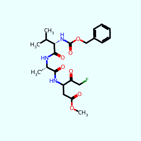 COC(=O)CC(NC(=O)[C@H](C)NC(=O)[C@@H](NC(=O)OCc1ccccc1)C(C)C)C(=O)CF